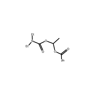 CCN(CC)C(=O)OC(C)OC(=O)C(C)C